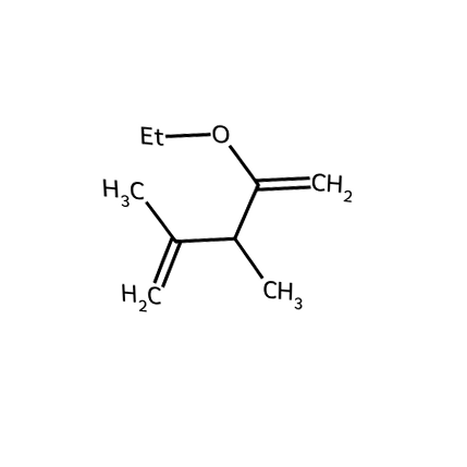 C=C(C)C(C)C(=C)OCC